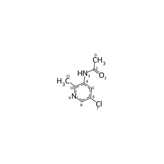 CC(=O)Nc1cc(Cl)cnc1C